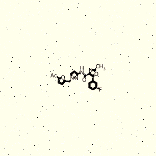 CC(=O)c1ccc(Cn2ccc(NC(=O)c3nc(C)oc3-c3cccc(F)c3)n2)o1